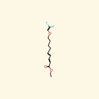 CCOC(=O)C=CC=CCCCCOC=C(F)F